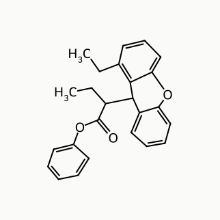 CCc1cccc2c1C(C(CC)C(=O)Oc1ccccc1)c1ccccc1O2